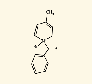 CC1=CC[N+](Br)(Cc2ccccc2)C=C1.[Br-]